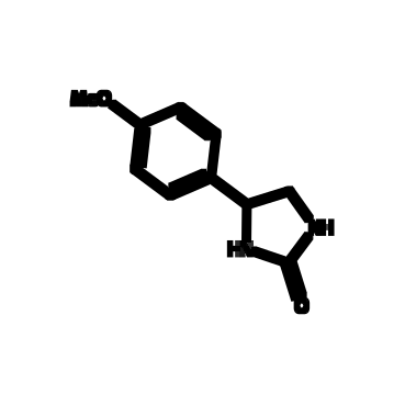 COc1ccc(C2CNC(=O)N2)cc1